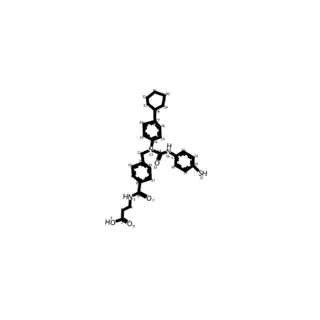 O=C(O)CCNC(=O)c1ccc(CN(C(=O)Nc2ccc(S)cc2)c2ccc(C3CCCCC3)cc2)cc1